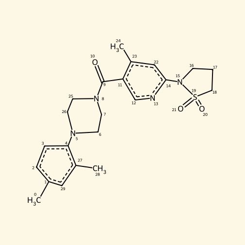 Cc1ccc(N2CCN(C(=O)c3cnc(N4CCCS4(=O)=O)cc3C)CC2)c(C)c1